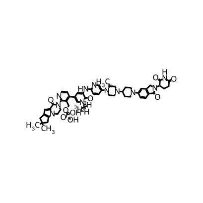 [2H]C([2H])([2H])n1cc(-c2ccnc(N3CCn4c(cc5c4CC(C)(C)C5)C3=O)c2COP(=O)(O)O)cc(Nc2ccc(N3CCN(C4CCN(c5ccc6c(c5)CN(C5CCC(=O)NC5=O)C6=O)CC4)C[C@@H]3C)cn2)c1=O